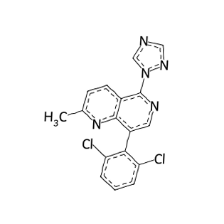 Cc1ccc2c(-n3cncn3)ncc(-c3c(Cl)cccc3Cl)c2n1